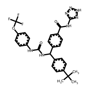 CC(C)(C)c1ccc(C(NC(=O)Nc2ccc(OC(F)(F)F)cc2)c2ccc(C(=O)Nc3nn[nH]n3)cc2)cc1